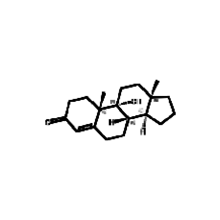 C[C@@]12CCC[C@H]1[C@@H]1CCC3=CC(=O)CC[C@]3(C)[C@@]1(O)CC2